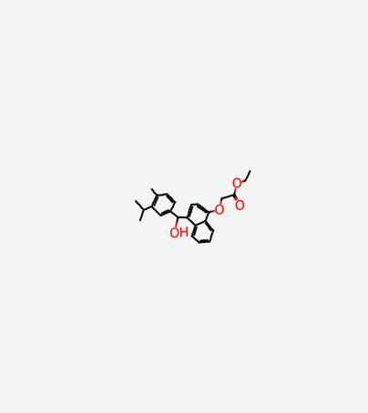 CCOC(=O)COc1ccc(C(O)c2ccc(C)c(C(C)C)c2)c2ccccc12